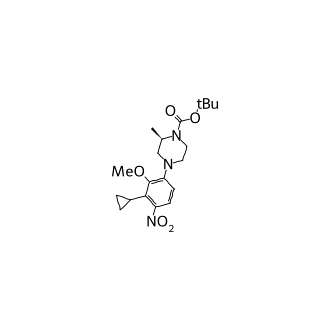 COc1c(N2CCN(C(=O)OC(C)(C)C)[C@H](C)C2)ccc([N+](=O)[O-])c1C1CC1